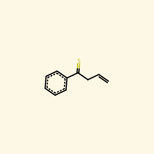 C=C[CH]C(=S)c1ccccc1